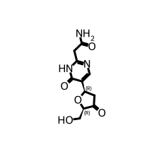 NC(=O)Cc1ncc([C@H]2CC(=O)[C@@H](CO)O2)c(=O)[nH]1